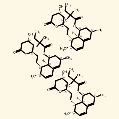 CCC(C)(C)C(=O)O[C@H]1C[C@@H](C)C=C2C=C[C@H](C)[C@H](CC[C@@H]3C[C@@H](O)CC(=O)O3)[C@H]21.CCC(C)(C)C(=O)O[C@H]1C[C@@H](C)C=C2C=C[C@H](C)[C@H](CC[C@@H]3C[C@@H](O)CC(=O)O3)[C@H]21.CCC(C)(C)C(=O)O[C@H]1C[C@@H](C)C=C2C=C[C@H](C)[C@H](CC[C@@H]3C[C@@H](O)CC(=O)O3)[C@H]21